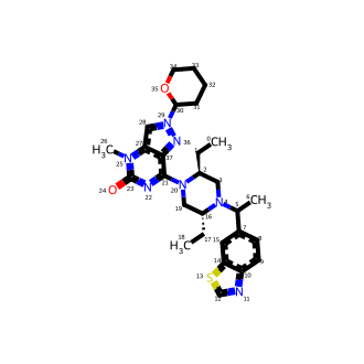 CC[C@H]1CN(C(C)c2ccc3ncsc3c2)[C@H](CC)CN1c1nc(=O)n(C)c2cn(C3CCCCO3)nc12